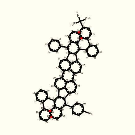 Fc1ccc(-c2c3c(c(-c4ccccc4-c4ccccc4)c4ccccc24)-c2ccc4c5ccc6c7c(ccc(c8ccc-3c2c84)c75)-c2c-6c(-c3ccccc3)c3ccccc3c2-c2ccccc2-c2ccc(C(F)(F)F)cc2)cc1